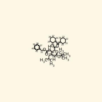 CC(C)C[C@H](NC(=O)OC(C)(C)C)[C@H](CC(=O)ON(C1CCCCC1)C1CCCCC1)NC(=O)OCc1ccccc1